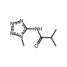 CC(C)C(=O)Nc1nnnn1C